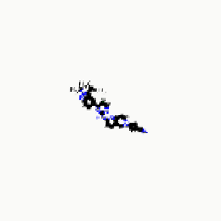 CC(C)c1c2cc(-c3nc(Nc4ccc5c(n4)CCN(C4CC(C#N)C4)C5)ncc3F)ccc2nn1C